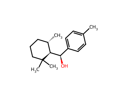 Cc1ccc([C@@H](O)[C@@H]2[C@@H](C)CCCC2(C)C)cc1